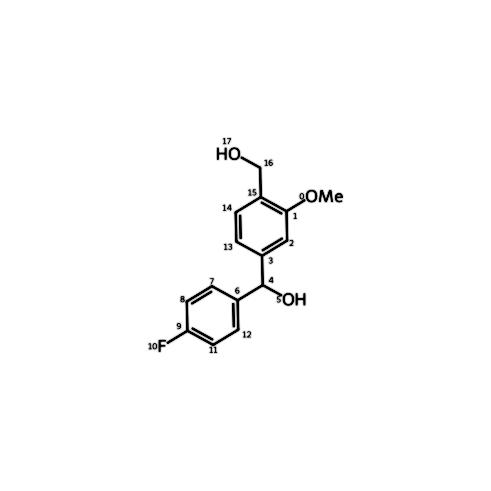 COc1cc(C(O)c2ccc(F)cc2)ccc1CO